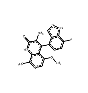 COc1cnc(C)c2[nH]c(=O)c(N)c(-c3ccc(F)c4[nH]ncc34)c12